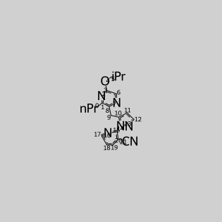 CCCc1nc(OC(C)C)cnc1Cc1ccnn1-c1ncccc1C#N